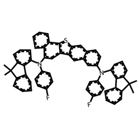 CC1(C)c2ccccc2-c2c(N(c3ccc(F)cc3)c3ccc4cc5sc6c7ccccc7c(N(c7ccc(F)cc7)c7cccc8c7-c7ccccc7C8(C)C)cc6c5cc4c3)cccc21